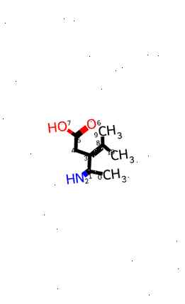 CC(=N)C(CC(=O)O)=C(C)C